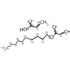 C=CC(=O)O.C=CC(=O)OCCCCCCCCCC